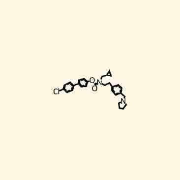 O=C(Oc1ccc(-c2ccc(Cl)cc2)cc1)N(CCc1ccc(CN2CCCC2)cc1)CC1CC1